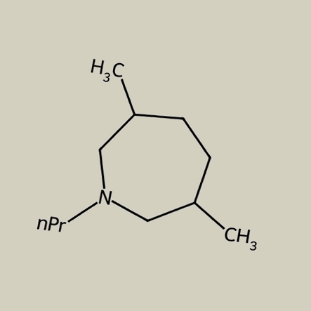 CCCN1CC(C)CCC(C)C1